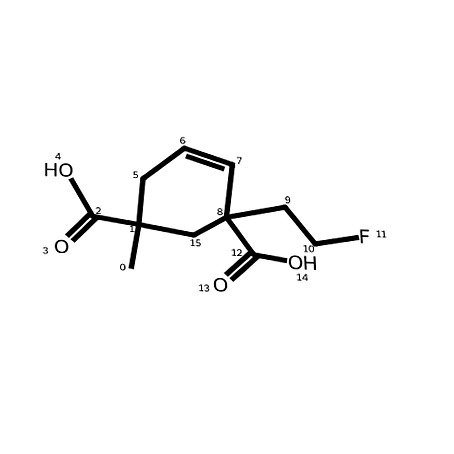 CC1(C(=O)O)CC=CC(CCF)(C(=O)O)C1